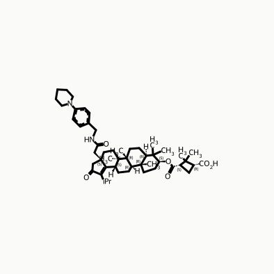 CC(C)C1=C2[C@H]3CC[C@@H]4[C@@]5(C)CC[C@H](OC(=O)[C@H]6C[C@@H](C(=O)O)C6(C)C)C(C)(C)[C@@H]5CC[C@@]4(C)[C@]3(C)CC[C@@]2(CC(=O)NCc2ccc(N3CCCCC3)cc2)CC1=O